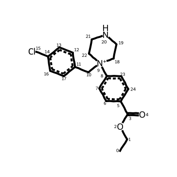 CCOC(=O)c1ccc([N+]2(Cc3ccc(Cl)cc3)CCNCC2)cc1